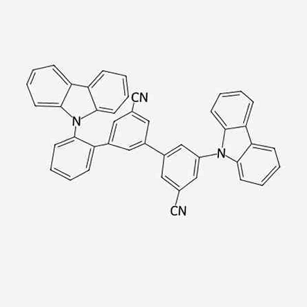 N#Cc1cc(-c2cc(C#N)cc(-n3c4ccccc4c4ccccc43)c2)cc(-c2ccccc2-n2c3ccccc3c3ccccc32)c1